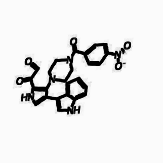 O=CC(=O)c1[nH]cc(-c2c[nH]c3ccccc23)c1N1CCN(C(=O)c2ccc([N+](=O)[O-])cc2)CC1